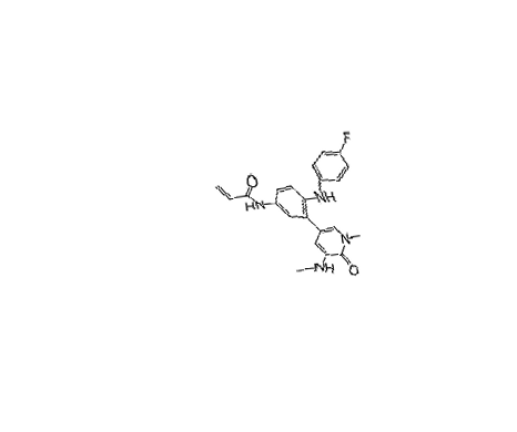 C=CC(=O)Nc1ccc(Nc2ccc(F)cc2)c(-c2cc(NC)c(=O)n(C)c2)c1